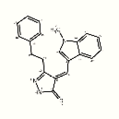 Cn1cc(C=C2C(=O)NN=C2CCc2ccccc2)c2ccccc21